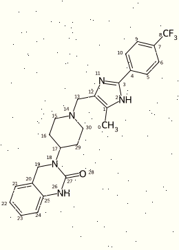 Cc1[nH]c(-c2ccc(C(F)(F)F)cc2)nc1CN1CCC(N2Cc3ccccc3NC2=O)CC1